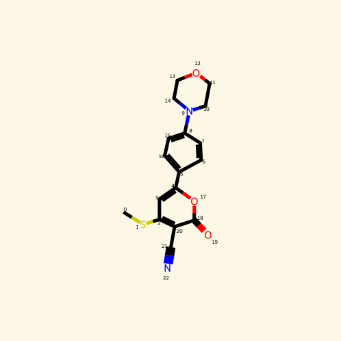 CSc1cc(-c2ccc(N3CCOCC3)cc2)oc(=O)c1C#N